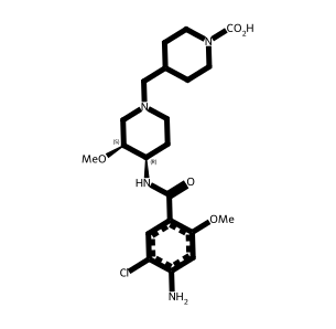 COc1cc(N)c(Cl)cc1C(=O)N[C@@H]1CCN(CC2CCN(C(=O)O)CC2)C[C@@H]1OC